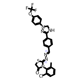 Cc1cccc(Cl)c1N1C(=O)CS/C1=N\N=C\c1ccc(C2=NN(c3ccc(OC(F)(F)F)cc3)CN2)cc1